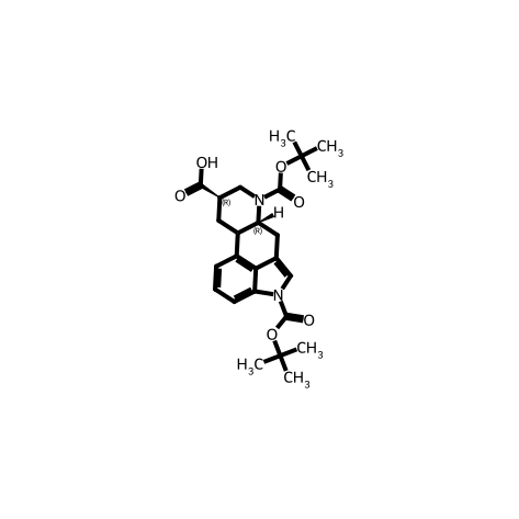 CC(C)(C)OC(=O)N1C[C@H](C(=O)O)CC2c3cccc4c3c(cn4C(=O)OC(C)(C)C)C[C@H]21